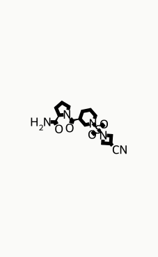 N#CC1CN(S(=O)(=O)N2CCC[C@H](C(=O)N3CCC[C@@H]3C(N)=O)C2)C1